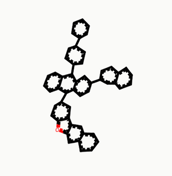 c1ccc(-c2ccc(-c3c4ccccc4c(-c4ccc5oc6cc7ccccc7cc6c5c4)c4ccc(-c5ccc6ccccc6c5)cc34)cc2)cc1